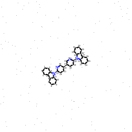 c1ccc2c(c1)c1ccccc1n2-c1ccc(-c2ccc(-n3c4ccccc4c4ccccc43)nc2)cn1